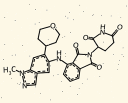 Cn1ncc2cc(Nc3cccc4c3C(=O)N(C3CCC(=O)NC3=O)C4=O)c(C3CCOCC3)cc21